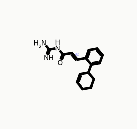 N=C(N)NC(=O)/C=C/c1ccccc1C1C=CCCC1